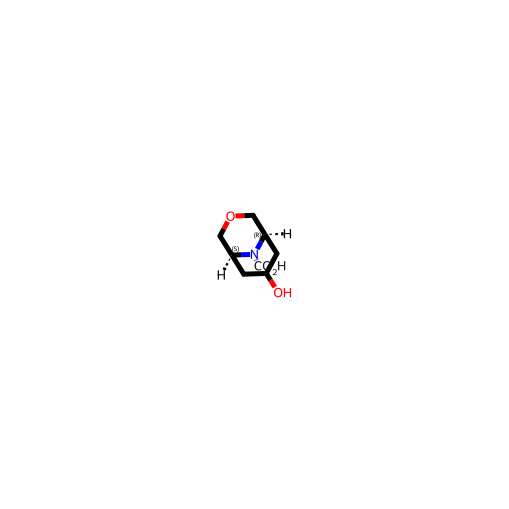 O=C(O)N1[C@@H]2COC[C@H]1CC(O)C2